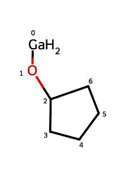 [GaH2][O]C1CCCC1